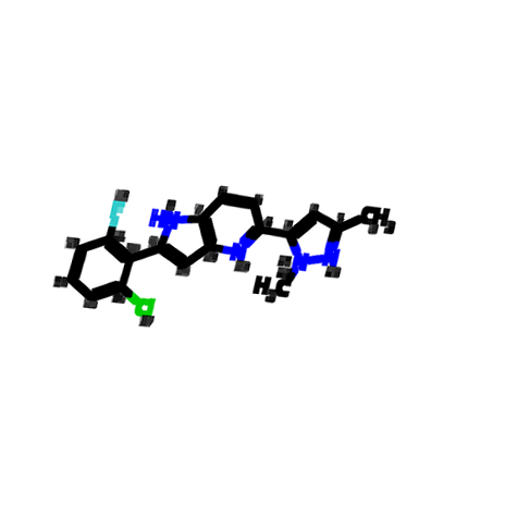 Cc1cc(-c2ccc3[nH]c(-c4c(F)cccc4Cl)cc3n2)n(C)n1